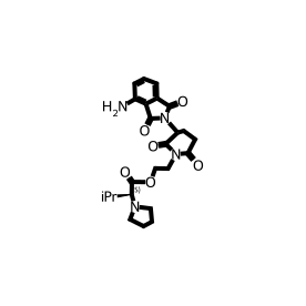 CC(C)[C@@H](C(=O)OCCN1C(=O)CCC(N2C(=O)c3cccc(N)c3C2=O)C1=O)N1CCCC1